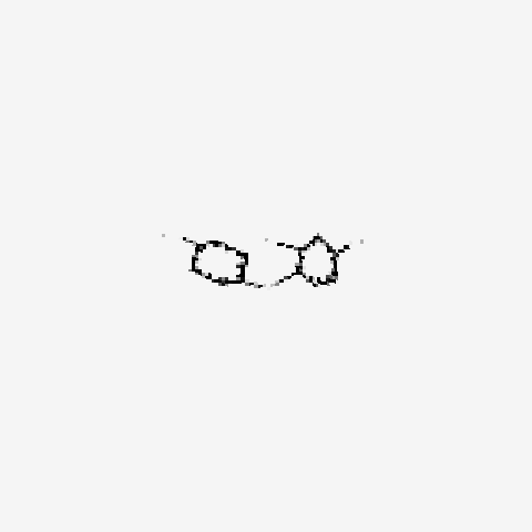 N#Cc1ccc(Nc2ccc(C=O)cc2)c(N)c1